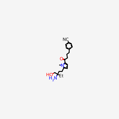 CCC(N)(CO)CCc1ccc(C(=O)CCCc2ccc(C#N)cc2)n1C